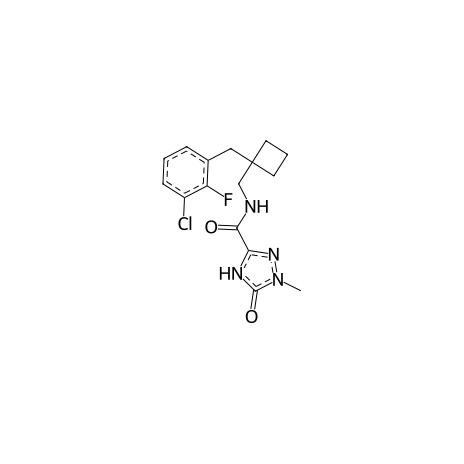 Cn1nc(C(=O)NCC2(Cc3cccc(Cl)c3F)CCC2)[nH]c1=O